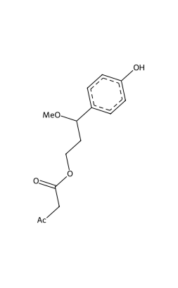 COC(CCOC(=O)CC(C)=O)c1ccc(O)cc1